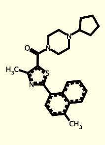 Cc1nc(-c2ccc(C)c3ccccc23)sc1C(=O)N1CCN(C2CCCC2)CC1